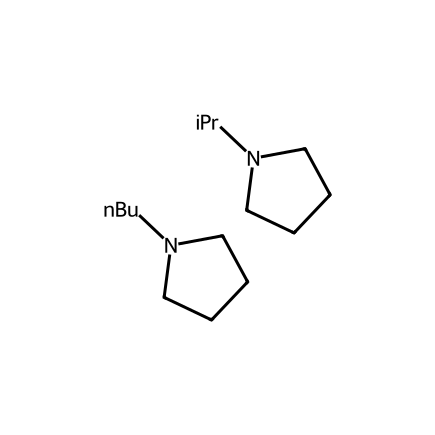 CC(C)N1CCCC1.CCCCN1CCCC1